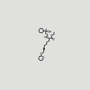 CCOC(=O)C(CCCCC#CCOC1CCCCO1)NCCC(C)(O)C1CCCCC1